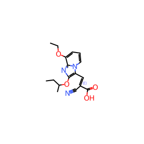 CCOc1cccn2c(/C=C(\C#N)C(=O)O)c(OC(C)CC)nc12